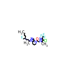 CCC=C/C(=C\C=C(/C)n1ncc2c1CCCN2C(=O)Cn1nc(C(F)(F)F)c(Cl)c1C)CF